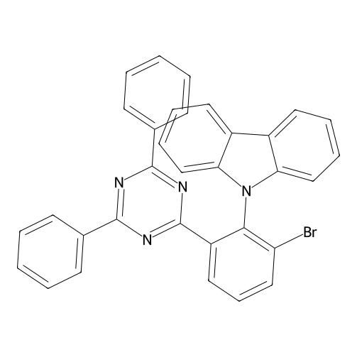 Brc1cccc(-c2nc(-c3ccccc3)nc(-c3ccccc3)n2)c1-n1c2ccccc2c2ccccc21